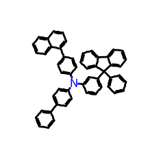 c1ccc(-c2ccc(N(c3ccc(-c4cccc5ccccc45)cc3)c3cccc(C4(c5ccccc5)c5ccccc5-c5ccccc54)c3)cc2)cc1